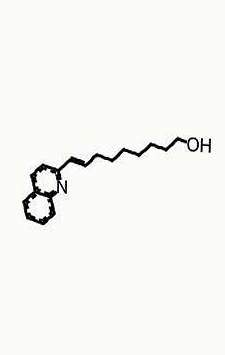 OCCCCCCCC=Cc1ccc2ccccc2n1